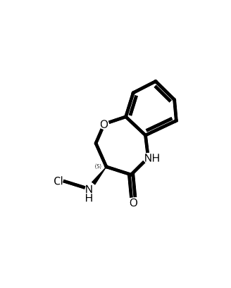 O=C1Nc2ccccc2OC[C@@H]1NCl